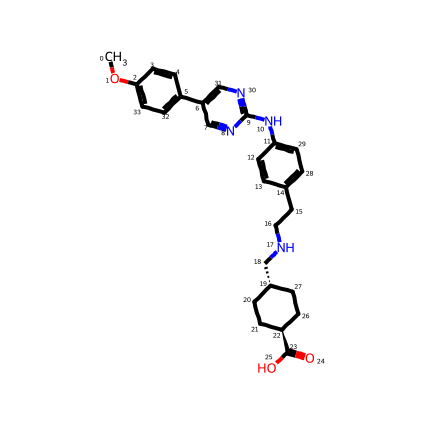 COc1ccc(-c2cnc(Nc3ccc(CCNC[C@H]4CC[C@H](C(=O)O)CC4)cc3)nc2)cc1